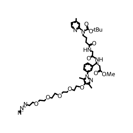 COC(=O)C[C@H](NC(=O)CNC(=O)CCCN(C(=O)OC(C)(C)C)c1cc(C)ccn1)c1cccc(-n2nc(C)c(OCCOCCOCCOCCOCCN=[N+]=[N-])c2C)c1